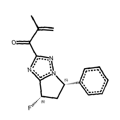 C=C(C)C(=O)c1nc2n(n1)[C@H](c1ccccc1)C[C@@H]2F